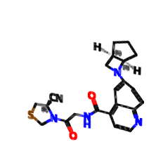 N#C[C@@H]1CSCN1C(=O)CNC(=O)c1ccnc2ccc(N3C[C@H]4CCC[C@H]43)cc12